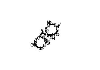 CC1CCC(=O)NCCN(CC(C)CN2CCNC(=O)CCC(C)CCC(=O)NC(C)C2C)CCNC(=O)CC1